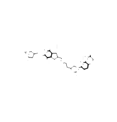 Cc1nc(OCC2CC(=O)N(C)C2)c(C)c2c1CC(CNCCC1CN(c3ccc4c(n3)NC(=O)CO4)C(=O)O1)C2